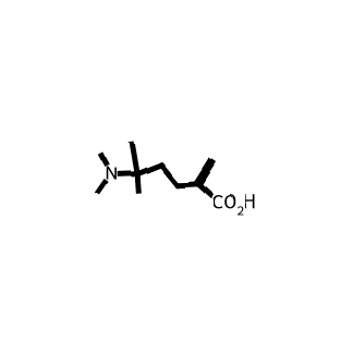 C=C(CCC(C)(C)N(C)C)C(=O)O